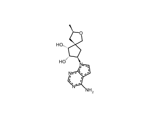 C[C@@H]1C[C@@]2(CO1)C[C@@H](n1ccc3c(N)ncnc31)[C@H](O)[C@@H]2O